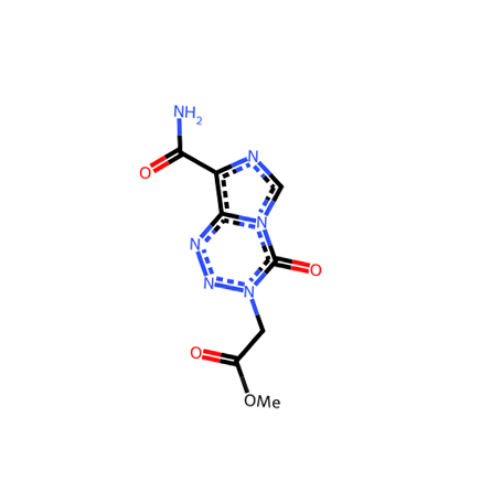 COC(=O)Cn1nnc2c(C(N)=O)ncn2c1=O